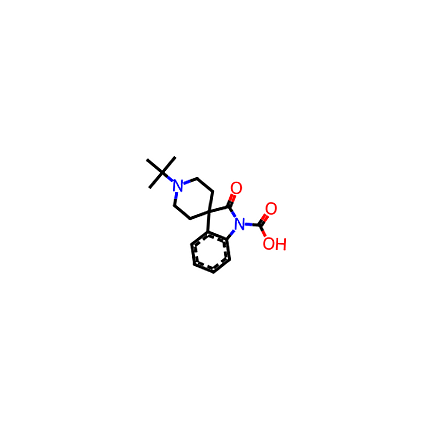 CC(C)(C)N1CCC2(CC1)C(=O)N(C(=O)O)c1ccccc12